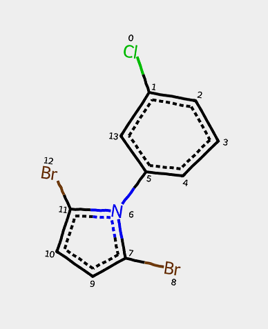 Clc1cccc(-n2c(Br)ccc2Br)c1